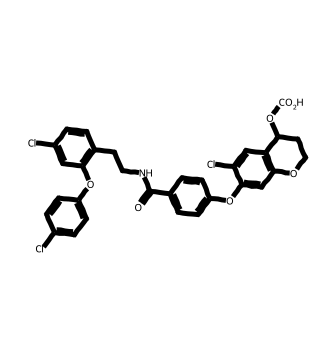 O=C(O)OC1CCOc2cc(Oc3ccc(C(=O)NCCc4ccc(Cl)cc4Oc4ccc(Cl)cc4)cc3)c(Cl)cc21